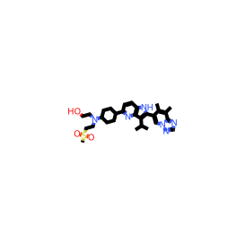 Cc1c(-c2[nH]c3ccc(C4CCC(N(CCO)CCS(C)(=O)=O)CC4)nc3c2C(C)C)cn2ncnc2c1C